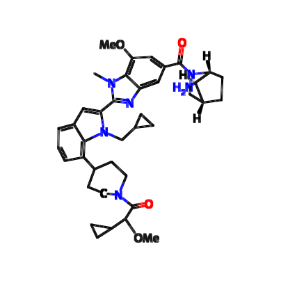 COc1cc(C(=O)N2C[C@H]3CC[C@@H]2[C@@H]3N)cc2nc(-c3cc4cccc(C5CCN(C(=O)C(OC)C6CC6)CC5)c4n3CC3CC3)n(C)c12